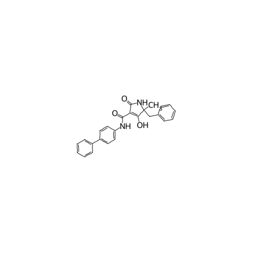 CC1(Cc2ccccc2)NC(=O)C(C(=O)Nc2ccc(-c3ccccc3)cc2)=C1O